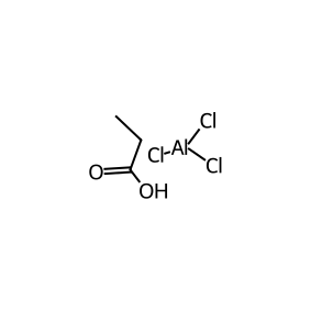 CCC(=O)O.[Cl][Al]([Cl])[Cl]